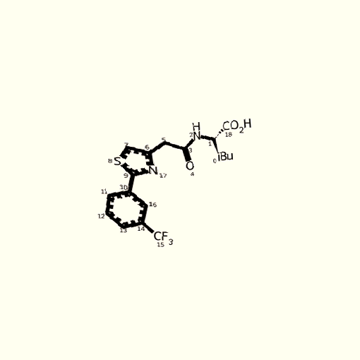 CC[C@H](C)[C@H](NC(=O)Cc1csc(-c2cccc(C(F)(F)F)c2)n1)C(=O)O